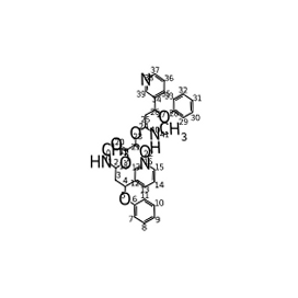 CNC(CC(Oc1ccccc1)c1cccnc1)OC(=O)C(=O)OC(CC(Oc1ccccc1)c1cccnc1)NC